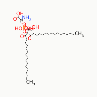 CCCCCCCCCCCCCCCC(=O)C(OP(=O)(O)OC[C@H](N)C(=O)O)(C(=O)CCCCCCCCCCCCCCC)[C@@H](O)CO